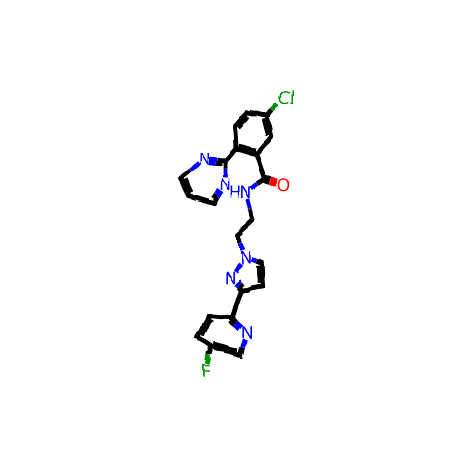 O=C(NCCn1ccc(-c2ccc(F)cn2)n1)c1cc(Cl)ccc1-c1ncccn1